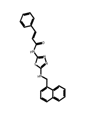 O=C(C=Cc1ccccc1)Nc1nnc(NCc2cccc3ccccc23)s1